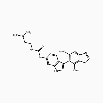 COc1nc2ncsc2c(OC)c1-c1c[nH]c2nc(NC(=O)NCCN(C)C)ccc12